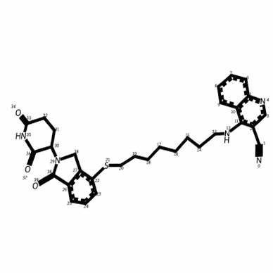 N#Cc1cnc2ccccc2c1NCCCCCCCCSc1cccc2c1CN(C1CCC(=O)NC1=O)C2=O